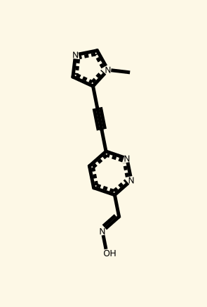 Cn1cncc1C#Cc1ccc(/C=N/O)nn1